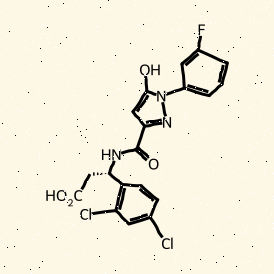 O=C(O)C[C@H](NC(=O)c1cc(O)n(-c2cccc(F)c2)n1)c1ccc(Cl)cc1Cl